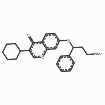 CNCCC(Oc1ccc2c(=O)c(C3CCCCC3)coc2c1)c1ccccc1